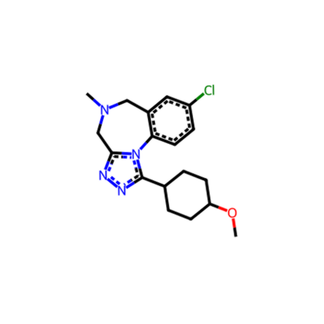 COC1CCC(c2nnc3n2-c2ccc(Cl)cc2CN(C)C3)CC1